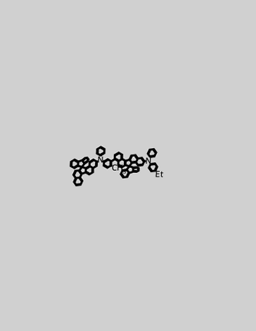 CCc1ccc(N(c2ccccc2)c2ccc3c4c(ccc3c2)-c2c(ccc3c(-c5cc(N(c6ccccc6)c6ccc7c8c(ccc7c6)-c6c(ccc7ccccc67)C86c7ccccc7-c7ccccc76)ccc5C)cccc23)C42c3ccccc3-c3ccccc32)cc1